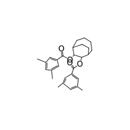 Cc1cc(C)cc(C(=O)OC2C3CCCCC(CC3)C2OC(=O)c2cc(C)cc(C)c2)c1